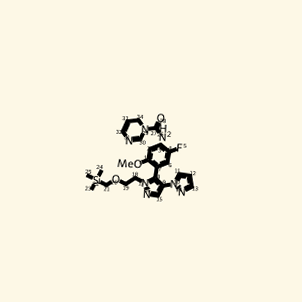 COc1ccc(F)cc1-c1c(-n2cccn2)cnn1CCOC[Si](C)(C)C.NC(=O)N1C=NC=CC1